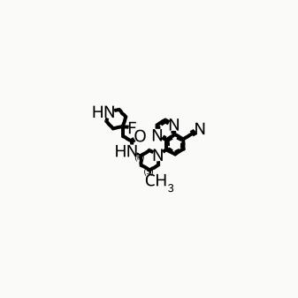 C[C@H]1C[C@@H](NC(=O)CC2(F)CCNCC2)CN(c2ccc(C#N)c3nccnc23)C1